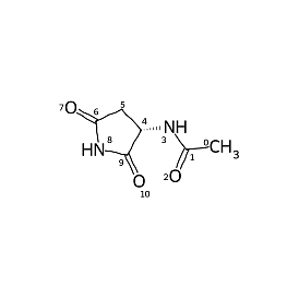 CC(=O)N[C@H]1CC(=O)NC1=O